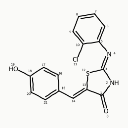 O=C1NC(=Nc2ccccc2Cl)SC1=Cc1ccc(O)cc1